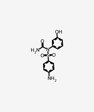 NC(=O)N(c1cccc(O)c1)S(=O)(=O)c1ccc(N)cc1